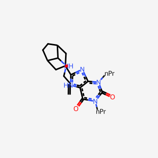 C=CCNC1C2CCC1CC(c1nc3c([nH]1)c(=O)n(CCC)c(=O)n3CCC)C2